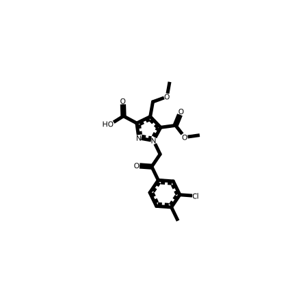 COCc1c(C(=O)O)nn(CC(=O)c2ccc(C)c(Cl)c2)c1C(=O)OC